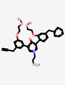 C#CCc1cc(OCCOCC)cc(-c2cn(CCC(=O)O)cc(-c3ccc(Cc4ccccc4)cc3OCCOCC)c2=O)c1